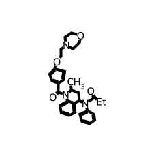 CCC(=O)N(c1ccccc1)C1CC(C)N(C(=O)c2ccc(OCCN3CCOCC3)cc2)c2ccccc21